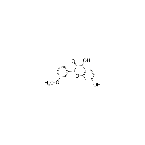 COc1cccc(C2Oc3cc(O)ccc3C(O)C2=O)c1